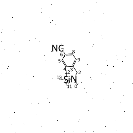 CN(Cc1ccc(C#N)cc1)[Si](C)(C)C